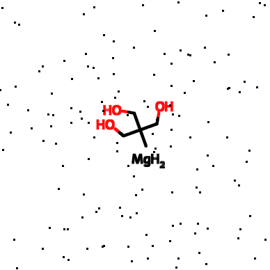 CC(CO)(CO)CO.[MgH2]